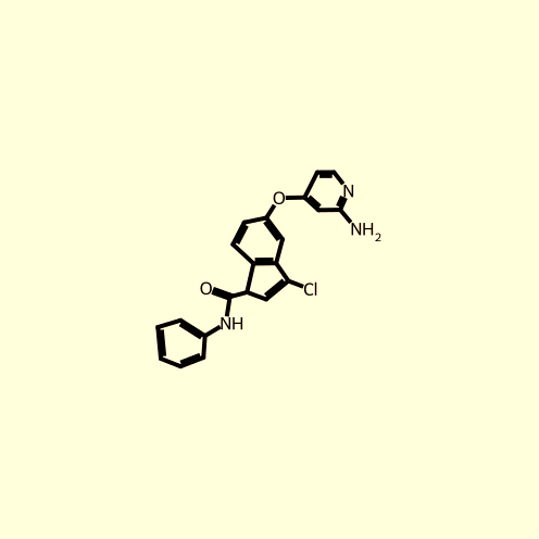 Nc1cc(Oc2ccc3c(c2)C(Cl)=CC3C(=O)Nc2ccccc2)ccn1